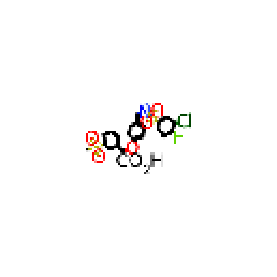 CN(Cc1ccc(OC(C(=O)O)c2cccc(S(C)(=O)=O)c2)cc1)S(=O)(=O)c1ccc(F)c(Cl)c1